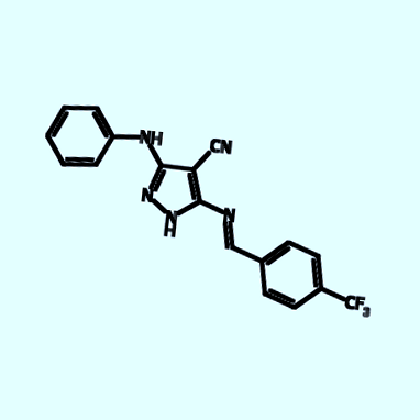 N#Cc1c(Nc2ccccc2)n[nH]c1/N=C/c1ccc(C(F)(F)F)cc1